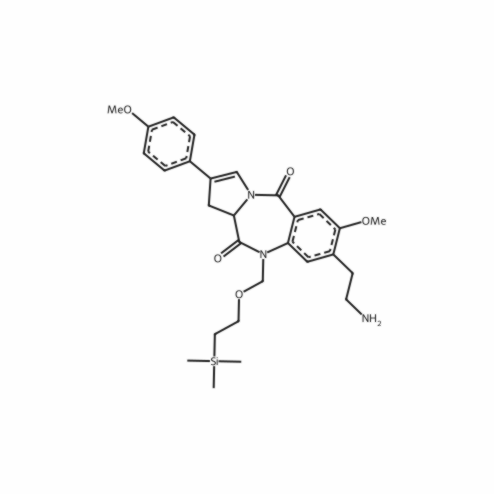 COc1ccc(C2=CN3C(=O)c4cc(OC)c(CCN)cc4N(COCC[Si](C)(C)C)C(=O)C3C2)cc1